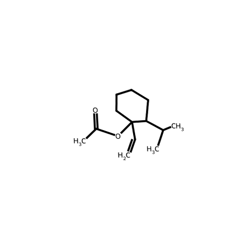 C=CC1(OC(C)=O)CCCCC1C(C)C